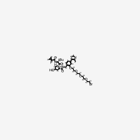 Cc1ncsc1-c1ccc(CNC(=O)[C@@H]2C[C@@H](O)CN2C(=O)[C@@H](NC(=O)C2(F)CC2)C(C)(C)C)c(OCCOCCOCCOCCBr)c1